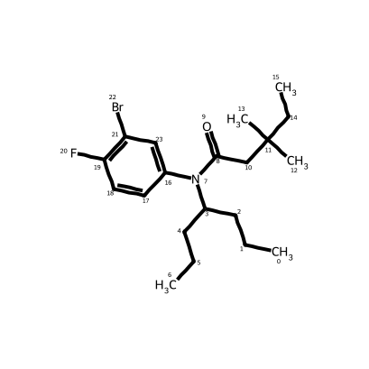 CCCC(CCC)N(C(=O)CC(C)(C)CC)c1ccc(F)c(Br)c1